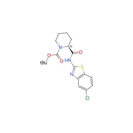 CC(C)(C)OC(=O)N1CCCC[C@H]1C(=O)Nc1nc2cc(Cl)ccc2s1